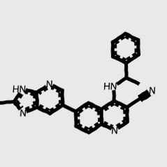 Cc1nc2cc(-c3ccc4ncc(C#N)c(NC(C)c5ccccc5)c4c3)cnc2[nH]1